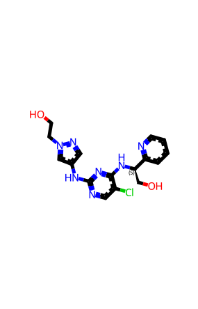 OCCn1cc(Nc2ncc(Cl)c(N[C@H](CO)c3ccccn3)n2)cn1